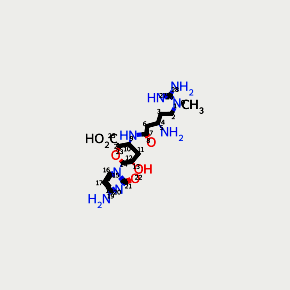 CN(CC[C@H](N)CC(=O)N[C@H]1C[C@@H](O)[C@H](n2ccc(N)nc2=O)O[C@@H]1C(=O)O)C(=N)N